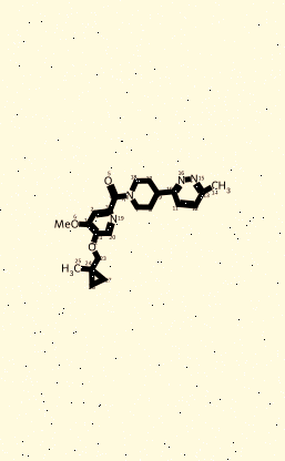 COc1cc(C(=O)N2CCC(c3ccc(C)nn3)CC2)ncc1OCC1(C)CC1